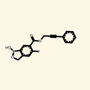 O=C(OCC#Cc1ccccc1)c1cc2c(cc1F)COB2O